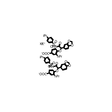 CCCc1cc(C(=O)[O-])ccc1OC(C(=O)NS(=O)(=O)c1ccc(C(C)C)cc1)c1ccc2c(c1)OCO2.CCCc1cc(C(=O)[O-])ccc1OC(C(=O)NS(=O)(=O)c1ccc(C(C)C)cc1)c1ccc2c(c1)OCO2.[K+].[K+]